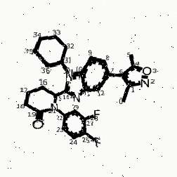 Cc1noc(C)c1-c1ccc2c(c1)nc(C1CCCC(=O)N1c1ccc(F)c(F)c1)n2C1CCCCC1